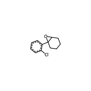 Clc1ccccc1C12CCCCC1O2